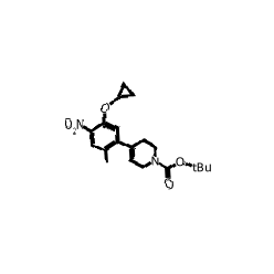 Cc1cc([N+](=O)[O-])c(OC2CC2)cc1C1=CCN(C(=O)OC(C)(C)C)CC1